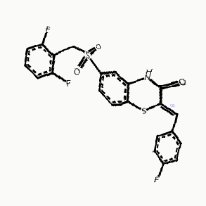 O=C1Nc2cc(S(=O)(=O)Cc3c(F)cccc3F)ccc2S/C1=C\c1ccc(F)cc1